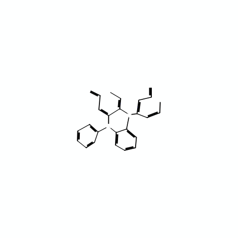 C=C/C=C(\C=C/C)B1C(=C/C)/C(=C\C=C)N(c2ccccc2)c2ccccc21